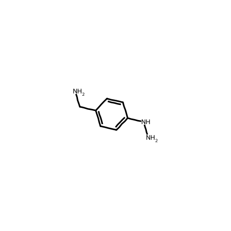 NCc1ccc(NN)cc1